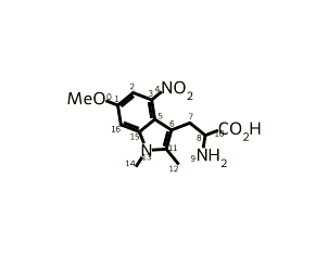 COc1cc([N+](=O)[O-])c2c(CC(N)C(=O)O)c(C)n(C)c2c1